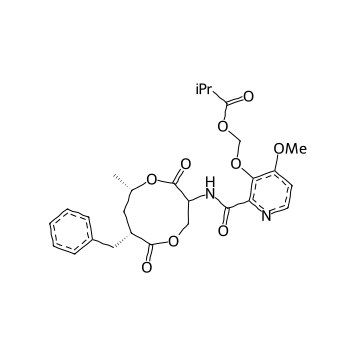 COc1ccnc(C(=O)NC2COC(=O)[C@H](Cc3ccccc3)C[C@H](C)OC2=O)c1OCOC(=O)C(C)C